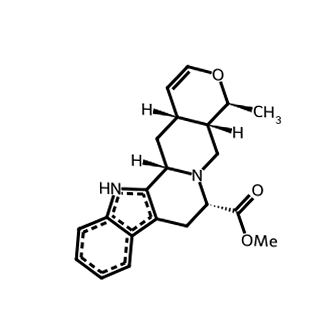 COC(=O)[C@@H]1Cc2c([nH]c3ccccc23)[C@@H]2C[C@@H]3C=CO[C@@H](C)[C@@H]3CN12